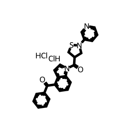 Cl.Cl.O=C(c1ccccc1)c1cccc2c1ccn2C(=O)C1CSN(c2cccnc2)C1